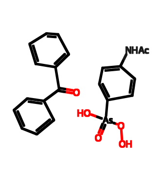 CC(=O)Nc1ccc([As](=O)(O)OO)cc1.O=C(c1ccccc1)c1ccccc1